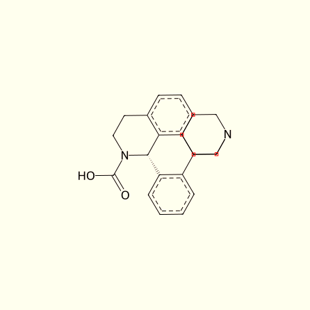 O=C(O)N1CCc2ccccc2[C@@H]1c1ccccc1C1CN2CCC1CC2